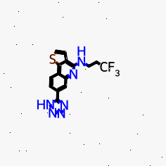 FC(F)(F)CCNc1nc2cc(-c3nnn[nH]3)ccc2c2sccc12